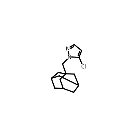 Clc1ccnn1CC12CC3CC(CC(C3)C1)C2